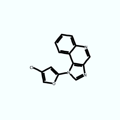 Clc1coc(-n2cnc3cnc4ccccc4c32)c1